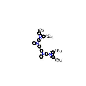 CC(C)(C)c1ccc2c(c1)c1cc(C(C)(C)C)ccc1n2-c1ccc(N(c2ccccc2)c2ccc(-c3ccc(N(c4ccccc4)c4ccc(-n5c6ccc(C(C)(C)C)cc6c6cc(C(C)(C)C)ccc65)cc4)cc3)cc2)cc1